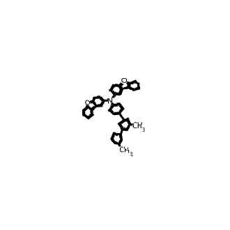 Cc1cccc(-c2cc(C)cc(-c3ccc(N(c4ccc5oc6ccccc6c5c4)c4ccc5oc6ccccc6c5c4)cc3)c2)c1